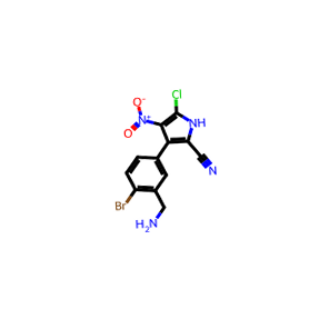 N#Cc1[nH]c(Cl)c([N+](=O)[O-])c1-c1ccc(Br)c(CN)c1